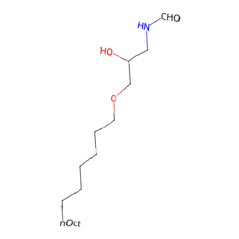 CCCCCCCCCCCCCCOCC(O)CNC=O